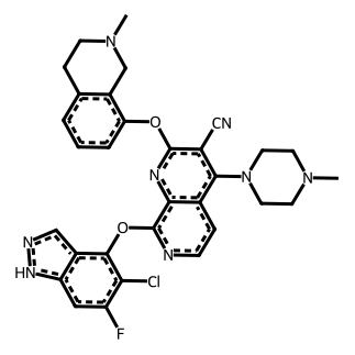 CN1CCN(c2c(C#N)c(Oc3cccc4c3CN(C)CC4)nc3c(Oc4c(Cl)c(F)cc5[nH]ncc45)nccc23)CC1